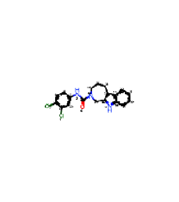 O=C(Nc1ccc(Cl)c(Cl)c1)N1CCCc2c([nH]c3ccccc23)C1